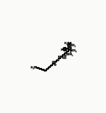 CCCCCCCC/C=C\CCCCCCCC(=O)NCCOCCNC(=O)C[C@H](O)C[C@H](O)/C=C/c1c(-c2ccc(F)cc2)nc(N(C)S(C)(=O)=O)nc1C(C)C